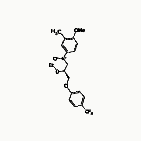 CCO[C@H](COc1ccc(C(F)(F)F)cc1)C[S+]([O-])c1ccc(OC)c(C)c1